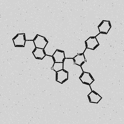 C1=CC(c2ccc(-c3nc(-c4ccc(-c5ccccc5)cc4)nc(-c4ccc(-c5cccc6c(-c7ccccc7)cccc56)c5oc6ccccc6c45)n3)cc2)=CCC1